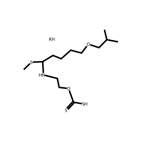 CSC(CCCCOCC(C)C)NCCOC(=S)S.[KH]